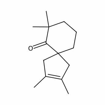 CC1=C(C)CC2(CCCC(C)(C)C2=O)C1